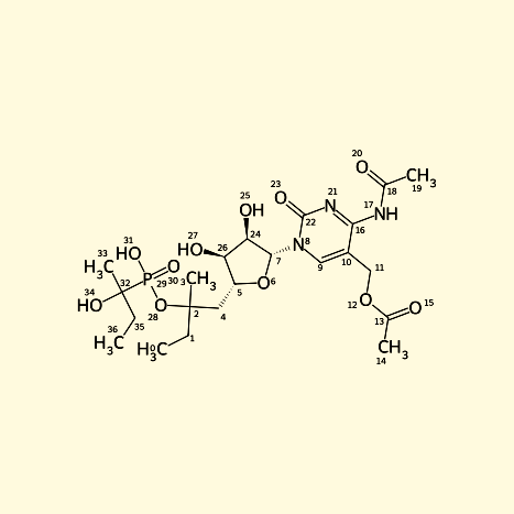 CCC(C)(C[C@H]1O[C@@H](n2cc(COC(C)=O)c(NC(C)=O)nc2=O)[C@H](O)[C@@H]1O)OP(=O)(O)C(C)(O)CC